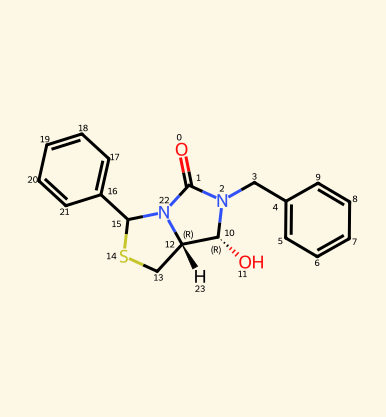 O=C1N(Cc2ccccc2)[C@H](O)[C@@H]2CSC(c3ccccc3)N12